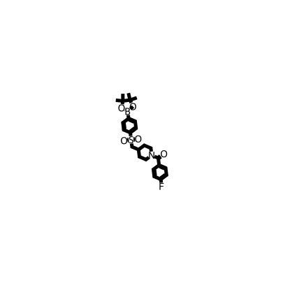 CC1(C)OB(c2ccc(S(=O)(=O)CC3CCN(C(=O)c4ccc(F)cc4)CC3)cc2)OC1(C)C